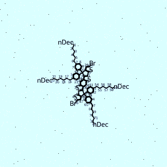 CCCCCCCCCCCCCCCCc1ccc(C2(c3ccc(CCCCCCCCCCCCCCCC)cc3)c3cc(Br)sc3-c3sc4cc5c6c(sc5cc4c32)-c2sc(Br)cc2C6(c2ccc(CCCCCCCCCCCCCCCC)cc2)c2ccc(CCCCCCCCCCCCCCCC)cc2)cc1